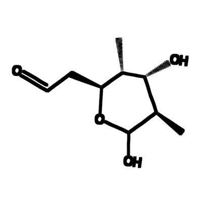 C[C@@H]1[C@H](O)[C@@H](C)C(O)O[C@H]1CC=O